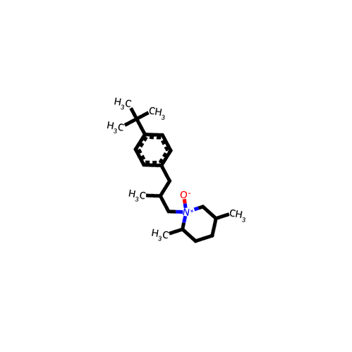 CC1CCC(C)[N+]([O-])(CC(C)Cc2ccc(C(C)(C)C)cc2)C1